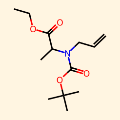 C=CCN(C(=O)OC(C)(C)C)C(C)C(=O)OCC